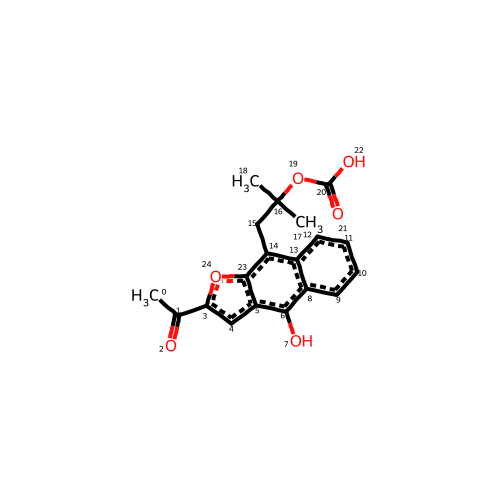 CC(=O)c1cc2c(O)c3ccccc3c(CC(C)(C)OC(=O)O)c2o1